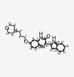 O=c1[nH]c2cc(OCCCN3CCOCC3)ccc2nc1-c1cc2ccccc2[nH]1